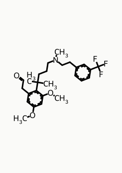 COc1cc(CC=O)c(C(C)(C)CCCN(C)CCc2cccc(C(F)(F)F)c2)c(OC)c1